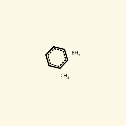 B.C.c1ccccc1